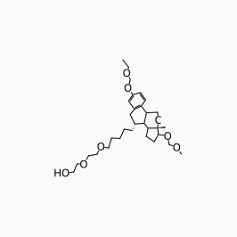 CCOCOc1ccc2c(c1)C[C@@H](CCCCCOCCOCCO)C1C2CC[C@]2(C)C(OCOC)CCC12